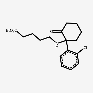 CCOC(=O)CCCCNC1(c2ccccc2Cl)CCCCC1=O